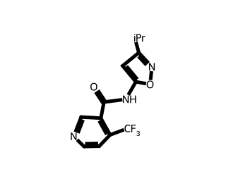 CC(C)c1cc(NC(=O)c2cnccc2C(F)(F)F)on1